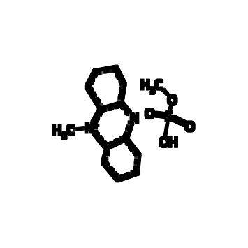 COS(=O)(=O)O.C[n+]1c2ccccc2nc2ccccc21